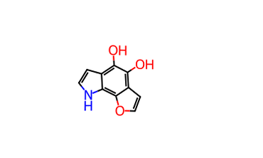 Oc1c(O)c2ccoc2c2[nH]ccc12